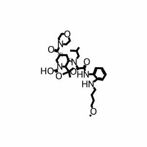 COCCCCNc1ccccc1NC(=O)C(=O)N(CC(C)C)[C@H]1C[C@@H](C(=O)N2CCOCC2)CN(C(=O)O)C1C(C)(C)C